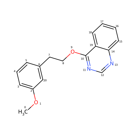 COc1cccc(CCOc2ncnc3ccccc23)c1